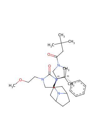 COCCN1CC2(CC3CCC(C2)N3C[C@H]2CN(C(=O)CC(C)(C)C)C[C@@H]2c2ccccc2)N(C(C)C)C1=O